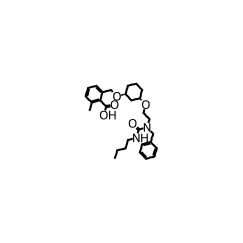 CCCCNC(=O)N(CCO[C@@H]1CCC[C@H](OCc2cccc(C)c2C(=O)O)C1)Cc1ccccc1